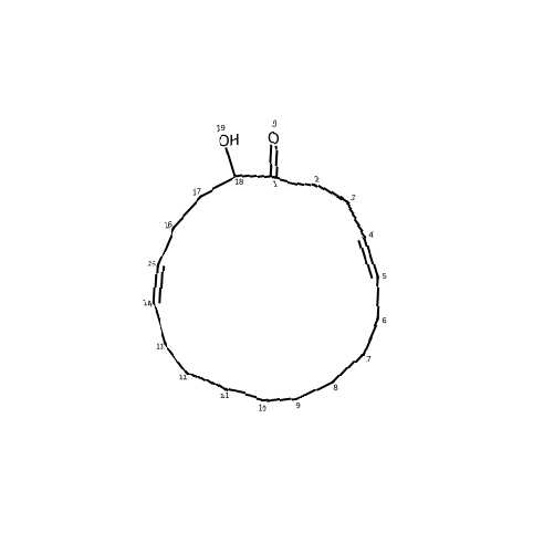 O=C1CCC=CCCCCCCCCC=CCCC1O